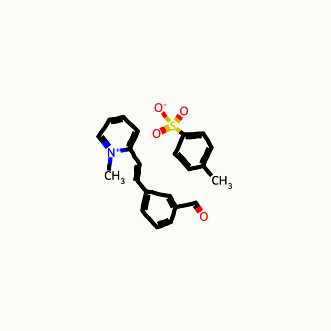 C[n+]1ccccc1/C=C/c1cccc(C=O)c1.Cc1ccc(S(=O)(=O)[O-])cc1